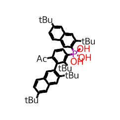 CC(=O)c1ccc(P(O)(O)(O)c2cc3ccc(C(C)(C)C)cc3cc2C(C)(C)C)c(C(C)(C)C)c1-c1cc2ccc(C(C)(C)C)cc2cc1C(C)(C)C